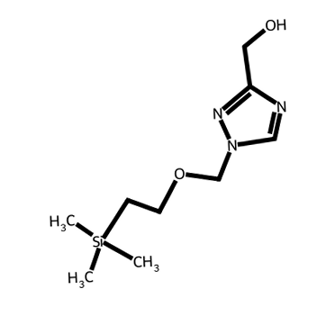 C[Si](C)(C)CCOCn1cnc(CO)n1